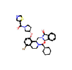 O=C(c1cncs1)N1CC[C@H](Oc2ccc(Br)c3c2[C@@H](CN2C(=O)c4ccccc4C2=O)N(C(=O)C2CCCCC2)CC3)C1